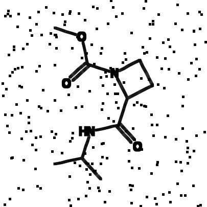 COC(=O)N1CCC1C(=O)NC(C)C